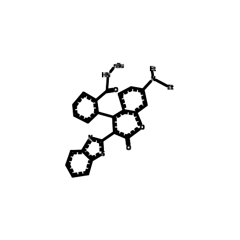 CCCCNC(=O)c1ccccc1-c1c(-c2nc3ccccc3s2)c(=O)oc2cc(N(CC)CC)ccc12